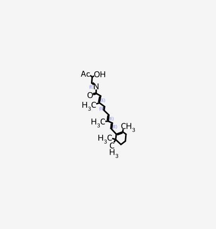 CC(=O)C(O)/C=N/C(=O)/C=C(C)/C=C/C=C(C)/C=C/C1=C(C)CCCC1(C)C